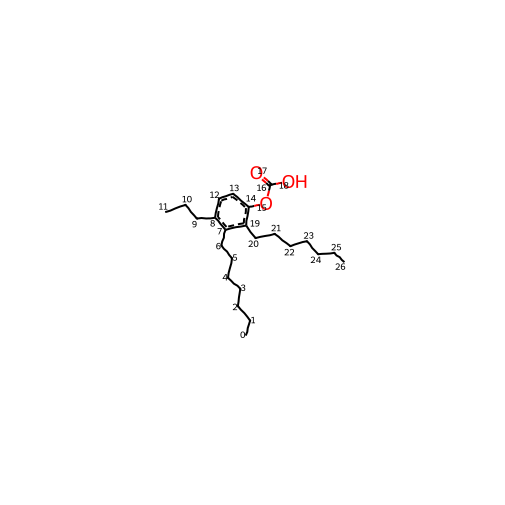 CCCCCCCc1c(CCC)ccc(OC(=O)O)c1CCCCCCC